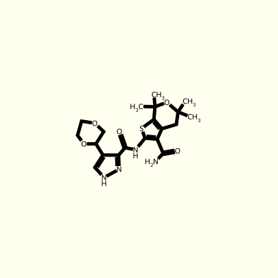 CC1(C)Cc2c(sc(NC(=O)c3n[nH]cc3C3COCCO3)c2C(N)=O)C(C)(C)O1